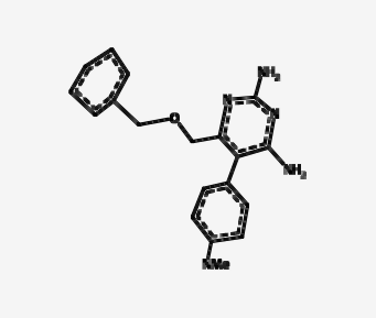 CNc1ccc(-c2c(N)nc(N)nc2COCc2ccccc2)cc1